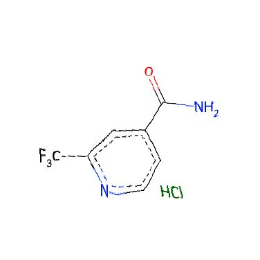 Cl.NC(=O)c1ccnc(C(F)(F)F)c1